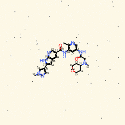 Cc1ncc(NC(=O)CN(C)C2CCOCC2)cc1NC(=O)c1cnc2[nH]c(-c3cnn(C)c3)cc2c1